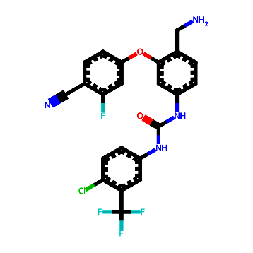 N#Cc1ccc(Oc2cc(NC(=O)Nc3ccc(Cl)c(C(F)(F)F)c3)ccc2CN)cc1F